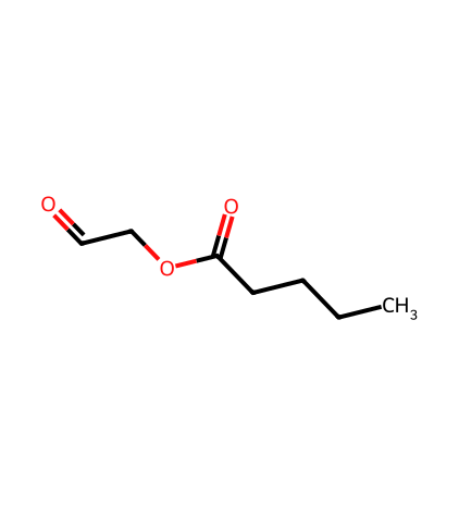 CCCCC(=O)OCC=O